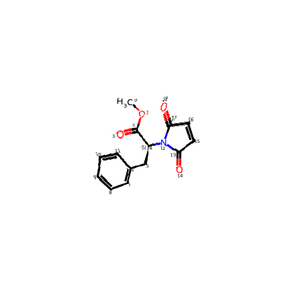 COC(=O)[C@H](Cc1ccccc1)N1C(=O)C=CC1=O